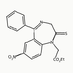 CCOC(=O)CN1C(=S)CN=C(c2ccccc2)c2cc([N+](=O)[O-])ccc21